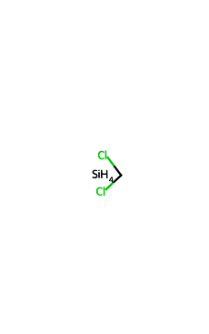 ClCCl.[SiH4]